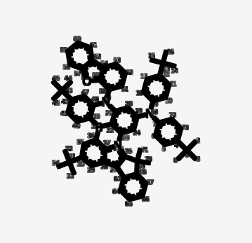 CC(C)(C)c1ccc(N(c2ccc(C(C)(C)C)cc2)c2cc3c4c(c2)-n2c5c(c6cc(C(C)(C)C)cc(c62)B4c2ccc(C(C)(C)C)cc2N3c2cccc3c2oc2ccccc23)-c2ccccc2C5(C)C)cc1